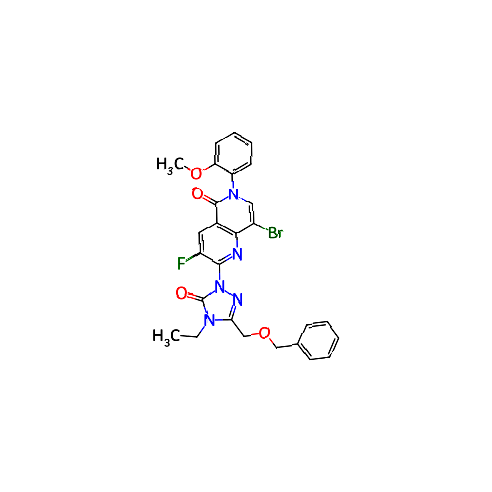 CCn1c(COCc2ccccc2)nn(-c2nc3c(Br)cn(-c4ccccc4OC)c(=O)c3cc2F)c1=O